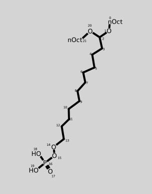 CCCCCCCCOC(CCCCCCCCCCCOOP(=O)(O)O)OCCCCCCCC